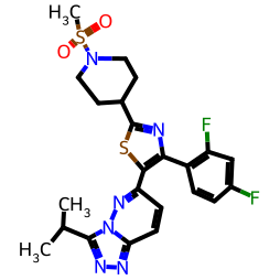 CC(C)c1nnc2ccc(-c3sc(C4CCN(S(C)(=O)=O)CC4)nc3-c3ccc(F)cc3F)nn12